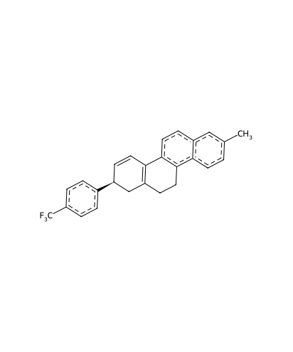 Cc1ccc2c3c(ccc2c1)C1=C(CC3)C[C@@H](c2ccc(C(F)(F)F)cc2)C=C1